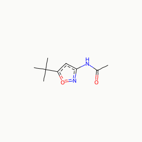 CC(=O)Nc1cc(C(C)(C)C)on1